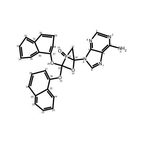 Nc1ncnc2c1ncn2C12CP1(=O)C(Oc1cccc3ccccc13)(Oc1cccc3ccccc13)O2